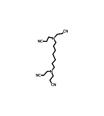 N#CCCN(CCC#N)CCCCCCCN(CCC#N)CCC#N